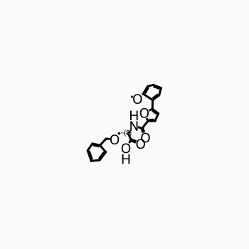 COc1ccccc1-c1ccc(C(=O)N[C@@H](COCc2ccccc2)C(=O)O)o1